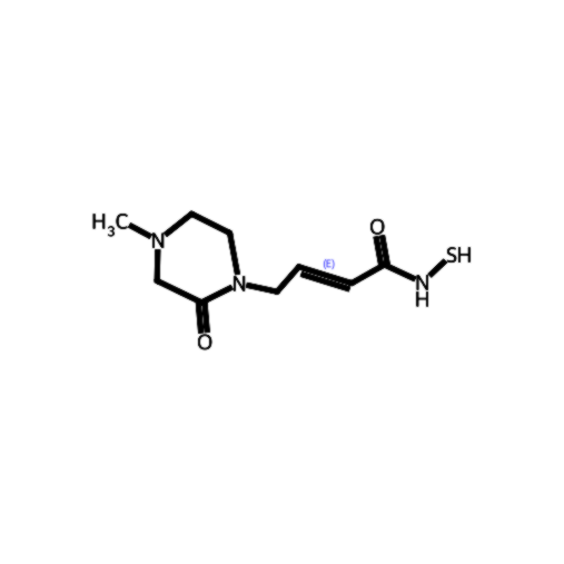 CN1CCN(C/C=C/C(=O)NS)C(=O)C1